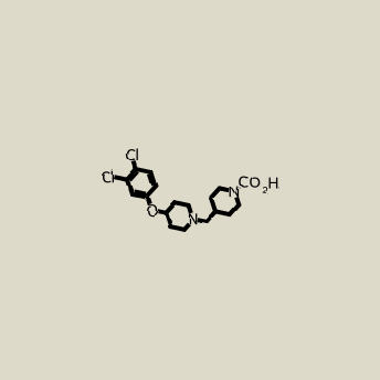 O=C(O)N1CCC(CN2CCC(Oc3ccc(Cl)c(Cl)c3)CC2)CC1